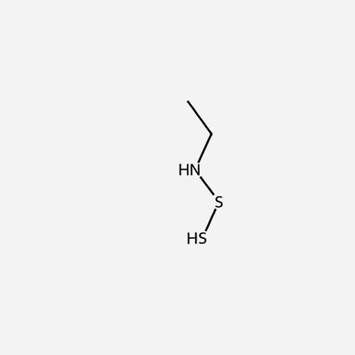 CCNSS